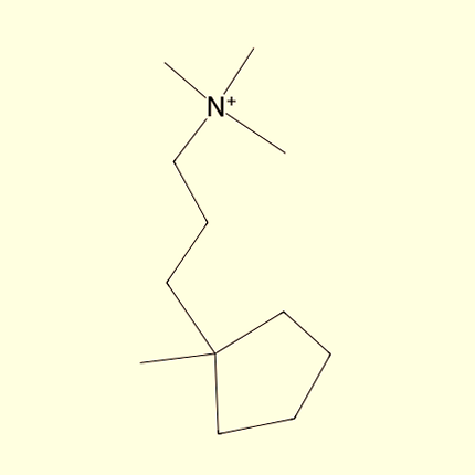 CC1(CCC[N+](C)(C)C)CCCC1